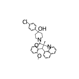 COc1ccccc1C(c1cccc2ccccc12)[C@@](C)(C#N)C(=O)N1CCC(O)(c2ccc(Cl)cc2)CC1